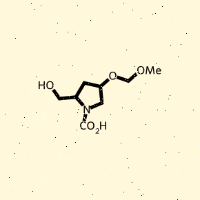 COCOC1CC(CO)N(C(=O)O)C1